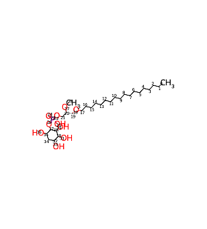 CCCCCCCCCCCCCCCCCCOC[C@H](COP(=O)(O)O[C@H]1[C@H](O)[C@@H](O)[C@H](O)C[C@H]1O)OC